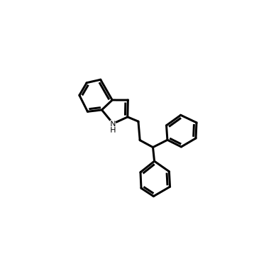 c1ccc(C(CCc2cc3ccccc3[nH]2)c2ccccc2)cc1